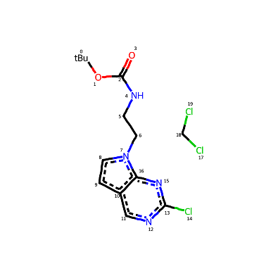 CC(C)(C)OC(=O)NCCn1ccc2cnc(Cl)nc21.ClCCl